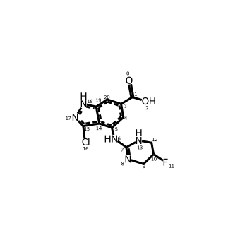 O=C(O)c1cc(NC2=NCC(F)CN2)c2c(Cl)n[nH]c2c1